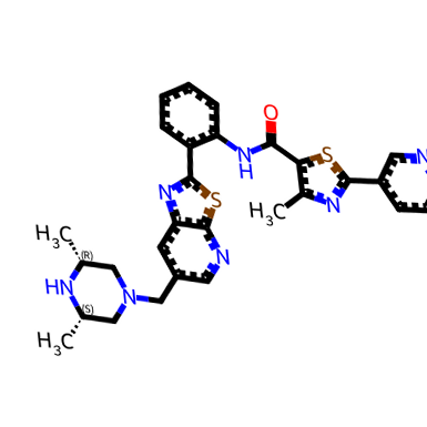 Cc1nc(-c2cccnc2)sc1C(=O)Nc1ccccc1-c1nc2cc(CN3C[C@@H](C)N[C@@H](C)C3)cnc2s1